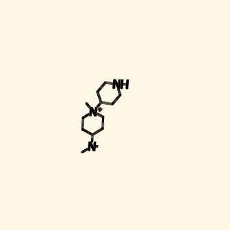 C[N]C1CC[N+](C)(C2CCNCC2)CC1